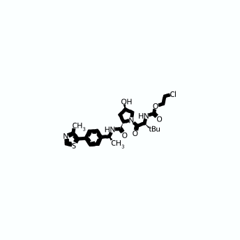 Cc1ncsc1-c1ccc([C@H](C)NC(=O)[C@@H]2C[C@@H](O)CN2C(=O)[C@H](NC(=O)OCCCl)C(C)(C)C)cc1